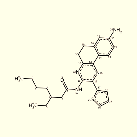 CCCCC(CC)CC(=O)Nc1nc2c(nc1-c1cccs1)-c1ccc(N)cc1CC2